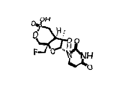 C[C@@]1(O)[C@@H]2CP(=O)(O)OC[C@@]2(CF)O[C@H]1n1ccc(=O)[nH]c1=O